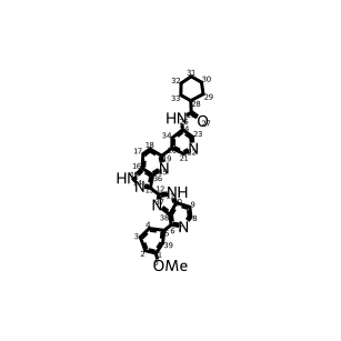 COc1cccc(-c2nccc3[nH]c(-c4n[nH]c5ccc(-c6cncc(NC(=O)C7CCCCC7)c6)nc45)nc23)c1